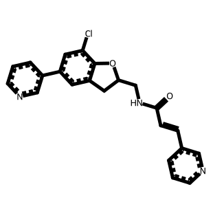 O=C(C=Cc1cccnc1)NCC1Cc2cc(-c3cccnc3)cc(Cl)c2O1